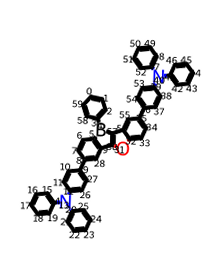 c1ccc(B2c3ccc(-c4ccc(N(c5ccccc5)c5ccccc5)cc4)cc3-c3oc4ccc(-c5ccc(N(c6ccccc6)c6ccccc6)cc5)cc4c32)cc1